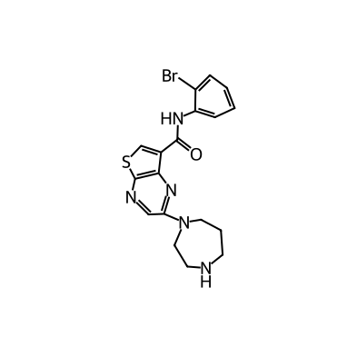 O=C(Nc1ccccc1Br)c1csc2ncc(N3CCCNCC3)nc12